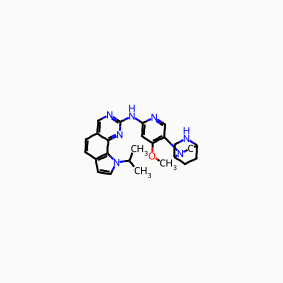 COc1cc(Nc2ncc3ccc4ccn(C(C)C)c4c3n2)ncc1N1CC2CCC1CN2